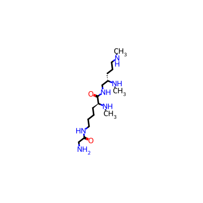 CNCCC[C@@H](CNC(=O)[C@H](CCCCNC(=O)CN)NC)NC